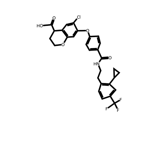 O=C(NCCc1ccc(C(F)(F)F)cc1C1CC1)c1ccc(Oc2cc3c(cc2Cl)C(C(=O)O)CCO3)cc1